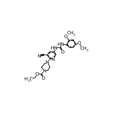 CCOC(=O)N1CCN(c2ncc(NC(=O)Nc3ccc(OC)cc3OC)cc2C#N)CC1